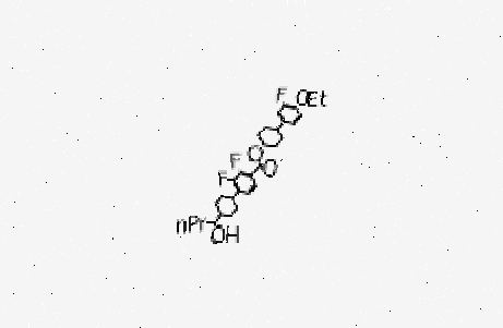 CCCC(O)C1CCC(c2ccc(C(=O)OC3CCC(c4ccc(OCC)c(F)c4)CC3)c(F)c2F)CC1